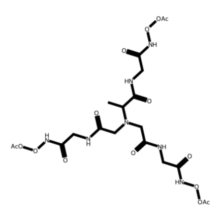 CC(=O)OONC(=O)CNC(=O)CN(CC(=O)NCC(=O)NOOC(C)=O)C(C)C(=O)NCC(=O)NOOC(C)=O